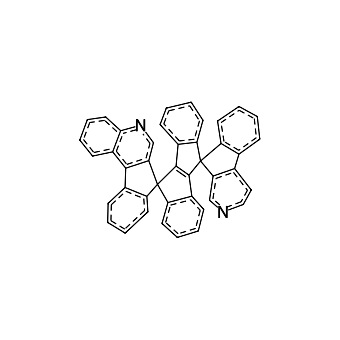 c1ccc2c(c1)C1=C(c3ccccc3C13c1ccccc1-c1c3cnc3ccccc13)C21c2ccccc2-c2ccncc21